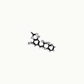 CC(=O)Oc1c(Br)cc(/C=C2/Oc3cccnc3NC2=O)cc1Br